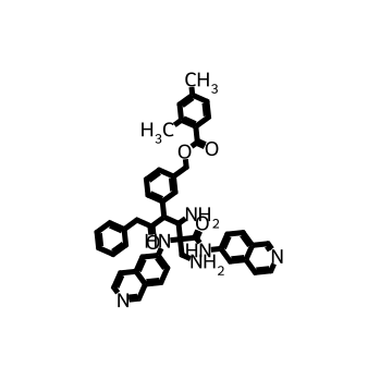 Cc1ccc(C(=O)OCc2cccc(C(C(=O)Cc3ccccc3)C(N)C(CN)(Nc3ccc4cnccc4c3)C(=O)Nc3ccc4cnccc4c3)c2)c(C)c1